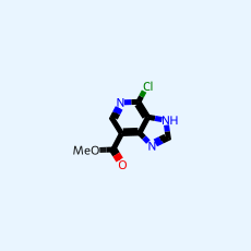 COC(=O)c1cnc(Cl)c2[nH]cnc12